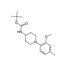 COc1cc(C)ccc1N1CCC(NC(=O)OC(C)(C)C)CC1